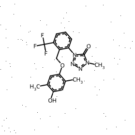 Cc1cc(OCc2c(-n3nnn(C)c3=O)cccc2C(F)(F)F)c(C)cc1O